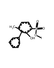 Cc1ccc(S(=O)(=O)OI)c(O)c1-c1ccccc1